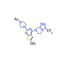 CCCc1cc2c(N3CCn4c(nnc4C(F)(F)F)C3)nc(N3CCN(C(C)=O)CC3)nc2s1